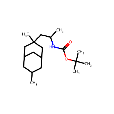 CC1CC2CC(C1)CC(C)(CC(C)NC(=O)OC(C)(C)C)C2